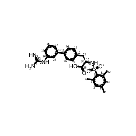 Cc1cc(C)c(S(=O)(=O)N[C@H](Cc2ccc(-c3cccc(NC(=N)N)c3)cc2)C(=O)O)c(C)c1